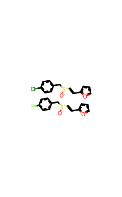 [O-][S+](C=Cc1ccco1)Cc1ccc(Cl)cc1.[O-][S+](C=Cc1ccco1)Cc1ccc(F)cc1